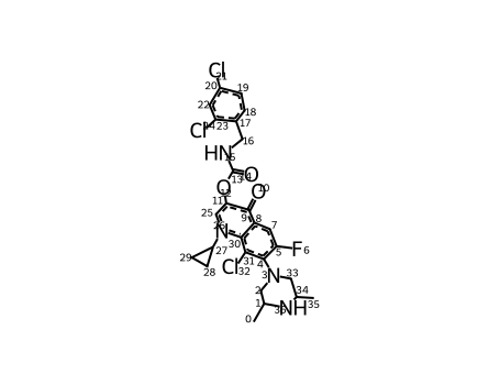 CC1CN(c2c(F)cc3c(=O)c(OC(=O)NCc4ccc(Cl)cc4Cl)cn(C4CC4)c3c2Cl)CC(C)N1